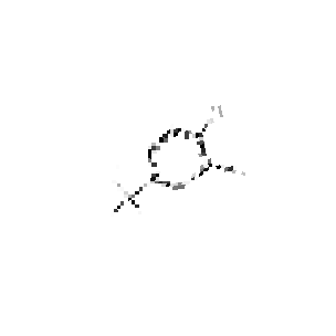 CCC(O)(CC)c1ccc(N)c(O)c1